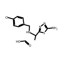 CC(NCc1ccc(Cl)cc1)c1nnc(N)s1.O=CO